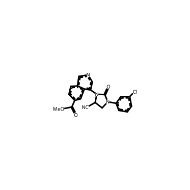 COC(=O)c1ccc2cncc(N3C(=O)N(c4cccc(Cl)c4)CC3C#N)c2c1